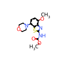 COC(=O)Nc1nc2c(OC)ccc(N3CCOCC3)c2s1